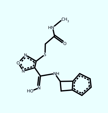 CNC(=O)CSc1nonc1/C(=N\O)NC1Cc2ccccc21